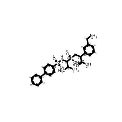 CC(C)C(NS(=O)(=O)c1ccc(-c2ccccc2)cc1)P(=O)(O)CC(C(=O)O)c1cccc(CN)c1